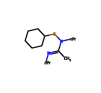 CCCN=C(C)N(CCC)SC1CCCCC1